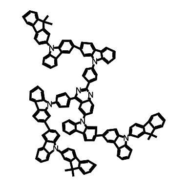 CC1(C)c2ccccc2-c2ccc(-n3c4ccccc4c4cc(-c5ccc6c7ccccc7n(-c7ccc(-c8nc(-c9ccc(-n%10c%11ccccc%11c%11ccc(-c%12ccc%13c(c%12)c%12ccccc%12n%13-c%12ccc%13c(c%12)C(C)(C)c%12ccccc%12-%13)cc%11%10)cc9)c9cc(-n%10c%11ccccc%11c%11ccc(-c%12ccc%13c(c%12)c%12ccccc%12n%13-c%12ccc%13c(c%12)C(C)(C)c%12ccccc%12-%13)cc%11%10)ccc9n8)cc7)c6c5)ccc43)cc21